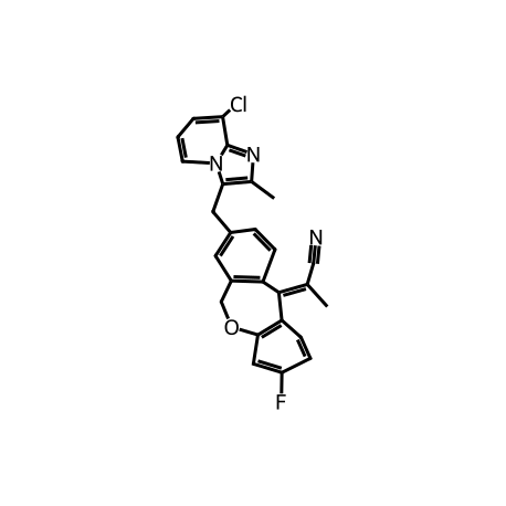 C/C(C#N)=C1/c2ccc(Cc3c(C)nc4c(Cl)cccn34)cc2COc2cc(F)ccc21